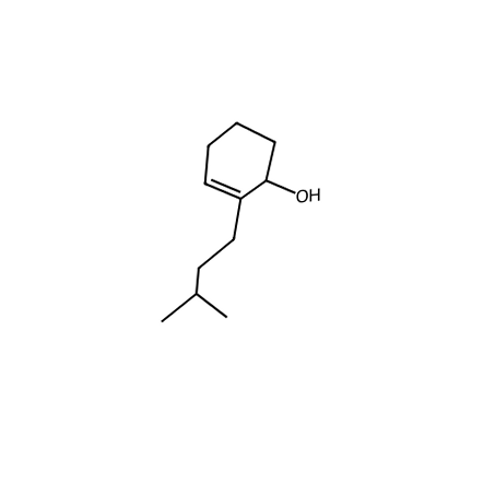 CC(C)CCC1=CCCCC1O